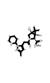 COC(=O)[C@@H]1[C@@H]2[C@H](CN1C(=O)Cc1cc(C)nn1C1CCCCO1)C2(C)C